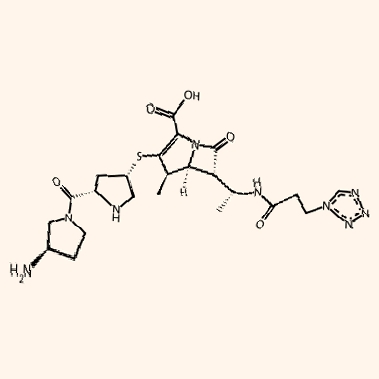 C[C@@H](NC(=O)CCn1cnnn1)[C@H]1C(=O)N2C(C(=O)O)=C(S[C@@H]3CN[C@H](C(=O)N4CC[C@@H](N)C4)C3)[C@H](C)[C@H]12